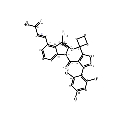 COC1(c2onc(-c3c(Cl)cc(Cl)cc3Cl)c2C(=O)n2cc(C)c3c(/C=C/C(=O)O)cccc32)CCC1